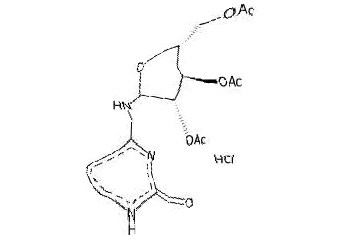 CC(=O)OC[C@H]1OC(Nc2cc[nH]c(=O)n2)[C@@H](OC(C)=O)[C@@H]1OC(C)=O.Cl